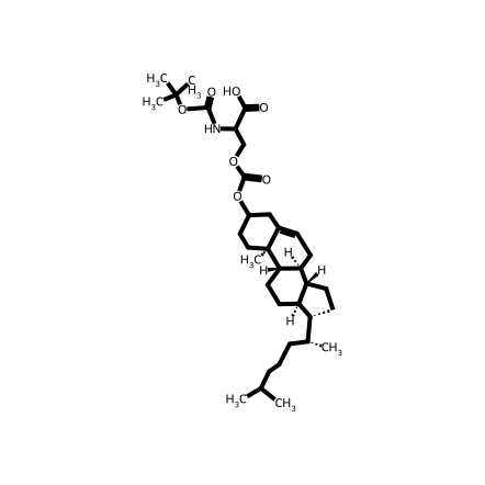 CC(C)CCC[C@@H](C)[C@H]1CC[C@@H]2[C@@H]1CC[C@H]1[C@H]2CC=C2CC(OC(=O)OCC(NC(=O)OC(C)(C)C)C(=O)O)CC[C@@]21C